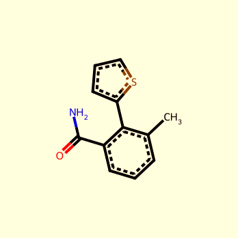 Cc1cccc(C(N)=O)c1-c1cccs1